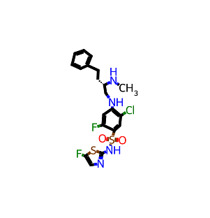 CN[C@@H](CCc1ccccc1)CNc1cc(F)c(S(=O)(=O)Nc2ncc(F)s2)cc1Cl